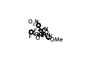 COc1ccc(NC(=O)c2c(NC(=O)OCc3c(F)cccc3F)sc(-c3ccc([N+](=O)[O-])cc3)c2CN(C)C)nn1